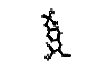 CNC(Cc1ccc(OP(=O)(O)O)cc1)C(N)=O